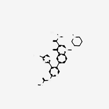 CCNC(=O)Nc1cc(-c2nc(C(F)(F)F)cs2)c(-c2ccc3c(c2)c(=O)c(C(=O)N(C)C)cn3C[C@H]2CCCN(C(=O)O)C2)cn1